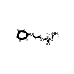 NOS(=O)(=O)OCCOc1ccccc1